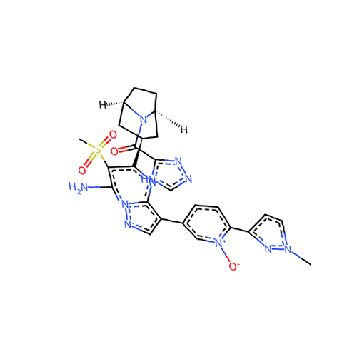 Cn1ccc(-c2ccc(-c3cnn4c(N)c(S(C)(=O)=O)c([C@H]5C[C@H]6CC[C@@H](C5)N6C(=O)c5nnc[nH]5)nc34)c[n+]2[O-])n1